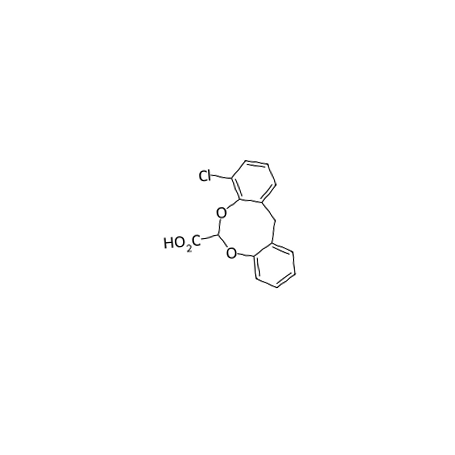 O=C(O)C1Oc2ccccc2Cc2cccc(Cl)c2O1